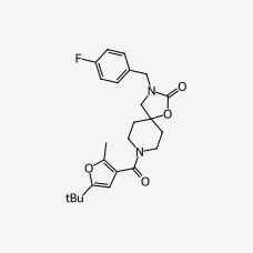 Cc1oc(C(C)(C)C)cc1C(=O)N1CCC2(CC1)CN(Cc1ccc(F)cc1)C(=O)O2